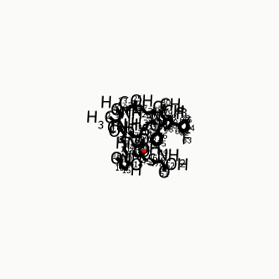 CC(C)[C@H](NC(=O)CCCCCN1C(=O)C=CC1=O)C(=O)N[C@@H](C)C(O)NCCCN(C(=O)CSCCC(=O)N[C@H](CNC(=O)CSC[C@H](N)C(=O)O)C(=O)O)[C@@H](c1cc(-c2cc(F)ccc2F)cn1Cc1ccccc1)C(C)(C)C